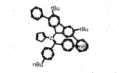 CCCCc1ccc([C](c2ccc(CCCC)cc2)=[Zr]([C]2=CC=CC2)[CH]2c3cc(-c4ccccc4)c(C(C)(C)C)cc3-c3cc(C(C)(C)C)c(-c4ccccc4)cc32)cc1